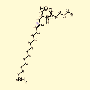 BCCCCCCCCCCCC/C=C/CC(CO)NC(=O)CCCCC